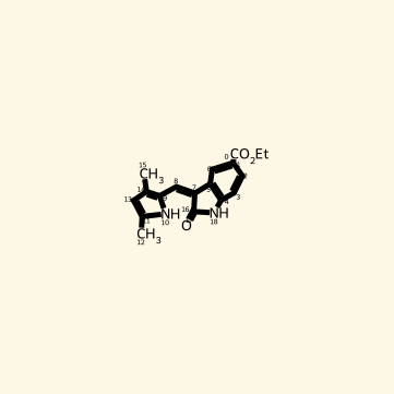 CCOC(=O)c1ccc2c(c1)C(=Cc1[nH]c(C)cc1C)C(=O)N2